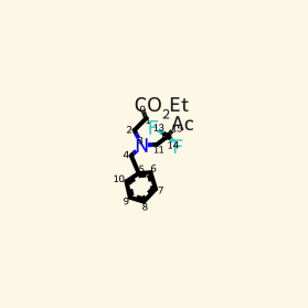 CCOC(=O)CCN(Cc1ccccc1)CC(F)(F)C(C)=O